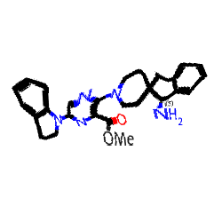 COC(=O)c1nc(N2CCc3ccccc32)cnc1N1CCC2(CC1)Cc1ccccc1[C@H]2N